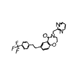 O=C1c2cc(CCc3ccc(C(F)(F)F)cc3)ccc2OCCN1Cc1ncccn1